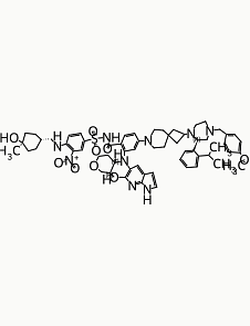 COc1ccc(CN2CCN(C3CC4(CCN(c5ccc(C(=O)NS(=O)(=O)c6ccc(NC[C@H]7CC[C@](C)(O)CC7)c([N+](=O)[O-])c6)c(N6c7cc8cc[nH]c8nc7O[C@H]7COCC[C@@H]76)c5)CC4)C3)[C@H](c3ccccc3C(C)C)C2)cc1